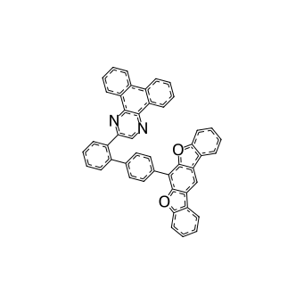 c1ccc(-c2cnc3c4ccccc4c4ccccc4c3n2)c(-c2ccc(-c3c4oc5ccccc5c4cc4c3oc3ccccc34)cc2)c1